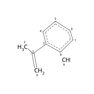 C=C(C)c1ccccc1.[CH]